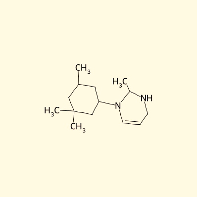 CC1CC(N2C=CCNC2C)CC(C)(C)C1